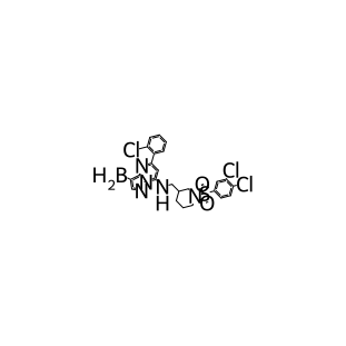 Bc1cnn2c(NCC3CCCN(S(=O)(=O)c4ccc(Cl)c(Cl)c4)C3)cc(-c3ccccc3Cl)nc12